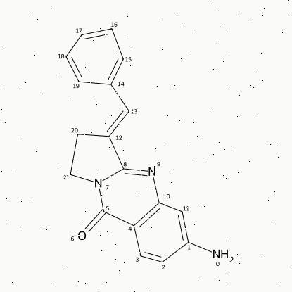 Nc1ccc2c(=O)n3c(nc2c1)C(=Cc1ccccc1)CC3